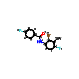 CC(C)c1c(F)ccc(NC(=O)c2ccc(F)cc2)c1Br